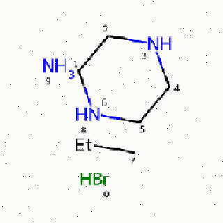 Br.C1CNCCN1.CCC.N